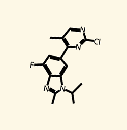 Cc1cnc(Cl)nc1-c1cc(F)c2nc(C)n(C(C)C)c2c1